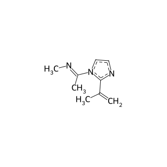 C=C(C)c1nccn1/C(C)=N/C